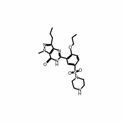 CCCOc1ccc(S(=O)(=O)N2CCNCC2)cc1-c1nc2c(CCC)nn(C)c2c(=O)[nH]1